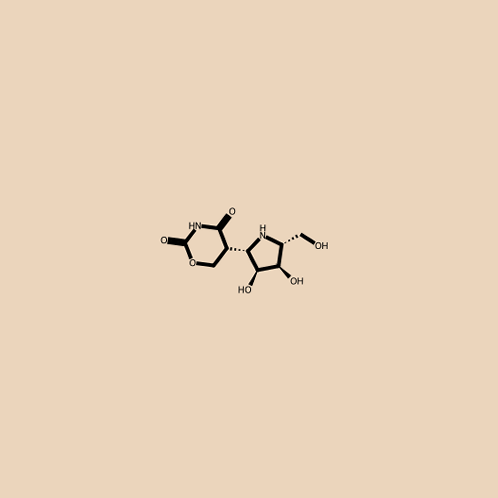 O=C1NC(=O)C([C@@H]2N[C@H](CO)[C@@H](O)[C@H]2O)CO1